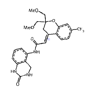 COCC1(COC)C/C(=C\C(=O)Nc2cccc3c2CNC(=O)N3)c2ccc(C(F)(F)F)cc2O1